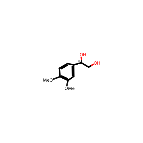 COc1ccc([C@@H](O)CO)cc1OC